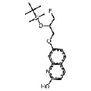 CC(C)(C)[Si](C)(C)OC(CF)COc1ccc2ccc(O)nc2c1